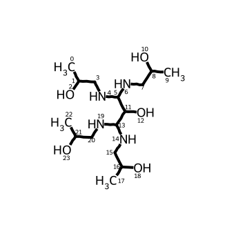 CC(O)CNC(NCC(C)O)C(O)C(NCC(C)O)NCC(C)O